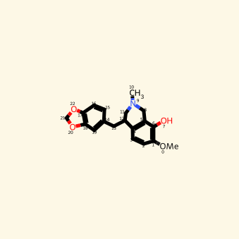 COc1ccc2c(c1O)CN(C)CC2Cc1ccc2c(c1)OCO2